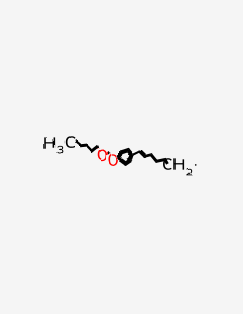 [CH2]CCCC=Cc1ccc(OCOCCCCCC)cc1